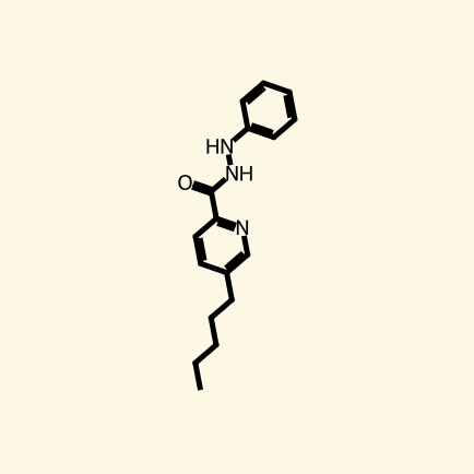 CCCCCc1ccc(C(=O)NNc2ccccc2)nc1